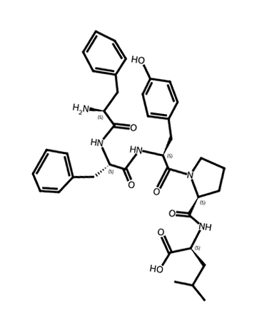 CC(C)C[C@H](NC(=O)[C@@H]1CCCN1C(=O)[C@H](Cc1ccc(O)cc1)NC(=O)[C@H](Cc1ccccc1)NC(=O)[C@@H](N)Cc1ccccc1)C(=O)O